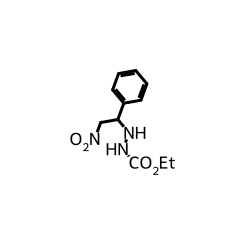 CCOC(=O)NNC(C[N+](=O)[O-])c1ccccc1